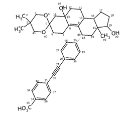 CC1(C)COC2(CCC3=C4C(CCC3(O)C2)C2CCC(O)C2(C)C[C@@H]4c2ccc(C#Cc3ccc(C(=O)O)cc3)cc2)OC1